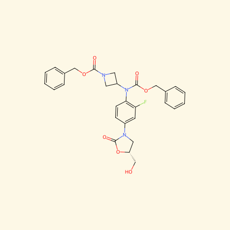 O=C(OCc1ccccc1)N1CC(N(C(=O)OCc2ccccc2)c2ccc(N3C[C@H](CO)OC3=O)cc2F)C1